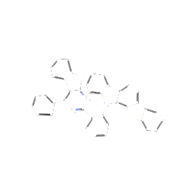 c1ccc(-c2nc(-c3ccccc3-n3c4ccccc4c4ccc5c6ccccc6sc5c43)nc3oc4ccccc4c23)cc1